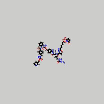 CC(C)C(NC(=O)CCCCCC(=O)ON1C(=O)CCC1=O)C(=O)N[C@@H](CCCNC(N)=O)C(=O)Nc1ccc(COC(=O)Nc2ccccc2NC(=O)c2ccc(CNC(=O)OCc3cccnc3)cc2)cc1